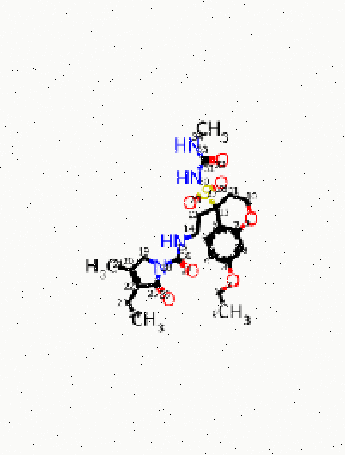 CCOc1ccc2c(c1)OCCC2(CCNC(=O)N1CC(C)=C(CC)C1=O)S(=O)(=O)NC(=O)NC